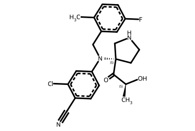 Cc1ccc(F)cc1CN(c1ccc(C#N)c(Cl)c1)[C@@]1(C(=O)[C@H](C)O)CCNC1